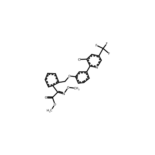 CO/N=C(/C(=O)OC)c1ccccc1COc1cccc(-c2ncc(C(F)(F)F)cc2Cl)c1